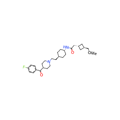 COC[C@H]1C[C@H](CC(=O)N[C@H]2CC[C@H](CCN3CCC(C(=O)c4ccc(F)cc4)CC3)CC2)C1